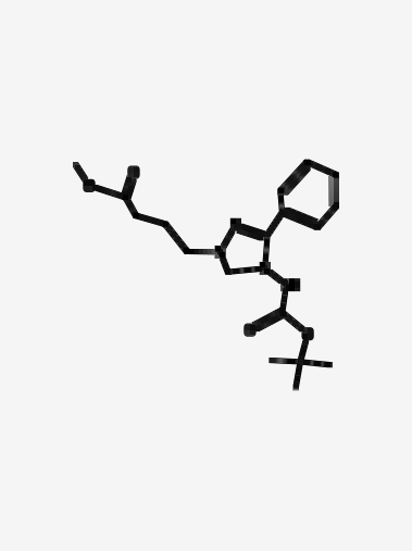 COC(=O)CCCN1CN(NC(=O)OC(C)(C)C)C(c2ccccc2)=N1